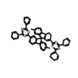 Cc1ccc2c(c1)C1(C3=C2CCC(c2nc(C4=CCCC=C4)nc(C4C=CC=CC4)n2)=C3)c2cc(C)ccc2-c2ccc(-c3nc(-c4ccccc4)nc(-c4ccccc4)n3)cc21